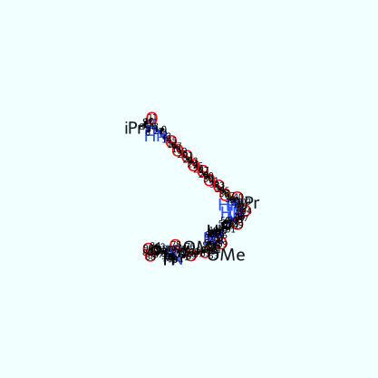 C=C(CCN1C(=C)C(C(C)C)CC1=O)NCCOCCOCCOCCOCCOCCOCCOCCOCCC(=O)NC(C(=O)N[C@@H](C)C(=O)Nc1ccc(C2=CN3C(=O)c4cc(OC)c(OCCCOc5cc6c(cc5OC)C(=O)N5C=C(c7ccc8c(c7)OCO8)C[C@H]5C=N6)cc4N=C[C@@H]3C2)cc1)C(C)C